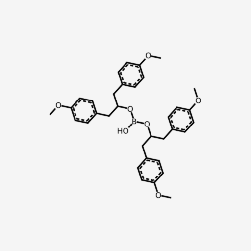 COc1ccc(CC(Cc2ccc(OC)cc2)OB(O)OC(Cc2ccc(OC)cc2)Cc2ccc(OC)cc2)cc1